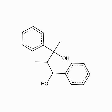 CC(C(O)c1ccccc1)C(C)(O)c1ccccc1